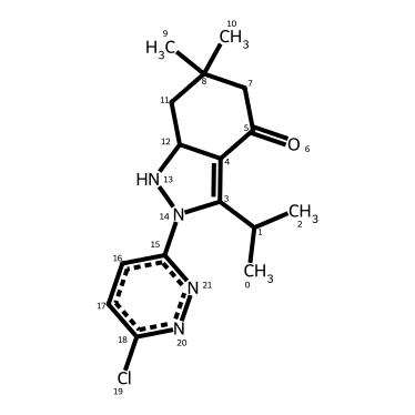 CC(C)C1=C2C(=O)CC(C)(C)CC2NN1c1ccc(Cl)nn1